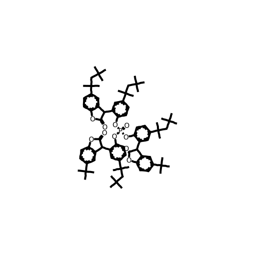 CC(C)(C)CC(C)(C)c1ccc2c(c1)C(c1cc(C(C)(C)CC(C)(C)C)ccc1OP(=O)(Oc1ccc(C(C)(C)CC(C)(C)C)cc1C1C(=O)Oc3ccc(C(C)(C)C)cc31)Oc1ccc(C(C)(C)CC(C)(C)C)cc1C1C(=O)Oc3ccc(C(C)(C)C)cc31)C(=O)O2